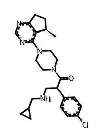 C[C@@H]1CCc2ncnc(N3CCN(C(=O)C(CNCC4CC4)c4ccc(Cl)cc4)CC3)c21